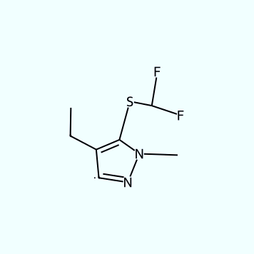 CCc1[c]nn(C)c1SC(F)F